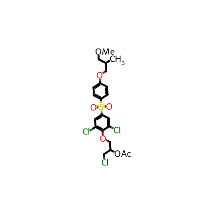 COCC(C)COc1ccc(S(=O)(=O)c2cc(Cl)c(OCC(CCl)OC(C)=O)c(Cl)c2)cc1